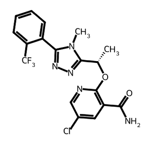 C[C@H](Oc1ncc(Cl)cc1C(N)=O)c1nnc(-c2ccccc2C(F)(F)F)n1C